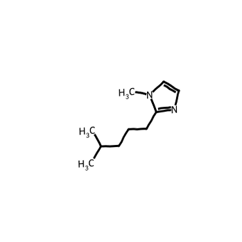 CC(C)CCCc1nccn1C